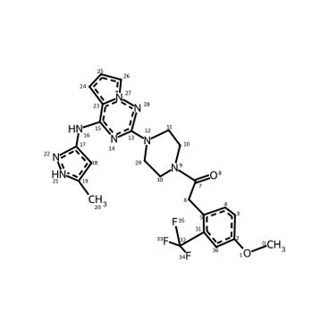 COc1ccc(CC(=O)N2CCN(c3nc(Nc4cc(C)[nH]n4)c4cccn4n3)CC2)c(C(F)(F)F)c1